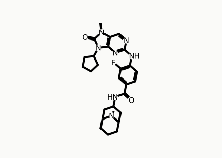 CN1C2CCCC1CC(NC(=O)c1ccc(Nc3ncc4c(n3)n(C3CCCC3)c(=O)n4C)c(F)c1)C2